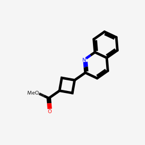 COC(=O)C1CC(c2ccc3ccccc3n2)C1